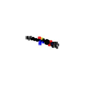 CCCCCCC(=O)Nc1nc(-c2ccc(S(=O)(=O)N(CC)CC)cc2)cs1